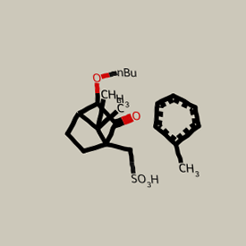 CCCCOC1C(=O)C2(CS(=O)(=O)O)CCC1C2(C)C.Cc1ccccc1